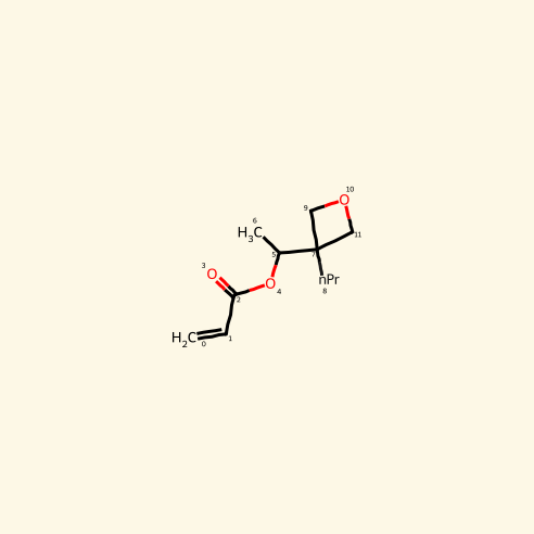 C=CC(=O)OC(C)C1(CCC)COC1